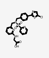 O=C(O)CNc1cccc(CN(Cc2ccc(-c3ncc(Cl)s3)cc2)S(=O)(=O)c2ccccn2)n1